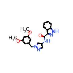 COc1cc(Cn2cc(NC(=O)c3n[nH]c4ccccc34)cn2)cc(OC)c1